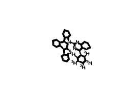 [2H]c1c([2H])c([2H])c(-c2nc(-n3c4ccccc4c4c5ccccc5c5c6ccccc6sc5c43)nc3ccccc23)c([2H])c1[2H]